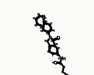 CCCC(=O)Nc1ccc2c(c1)C(=O)N(c1ccc3ncccc3c1)C2